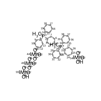 C[P+](c1ccccc1)(c1ccccc1)c1ccccc1.C[P+](c1ccccc1)(c1ccccc1)c1ccccc1.[O]=[Mn](=[O])([O-])[I].[O]=[Mn](=[O])([O-])[I].[O]=[Mn](=[O])([OH])[I].[O]=[Mn](=[O])([OH])[I]